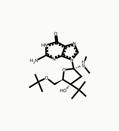 C[SiH](C)[C@]1(n2cnc3c(=O)[nH]c(N)nc32)C[C@@](O)(C(C)(C)C)[C@@H](COC(C)(C)C)O1